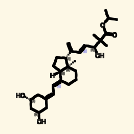 C=C(/C=C/[C@H](O)C(C)(C)C(=O)OC(C)C)[C@H]1CC[C@H]2/C(=C/C=C3C[C@@H](O)C[C@H](O)C3)CCC[C@]12C